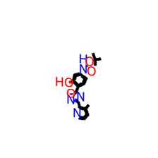 Cc1cccnc1-c1noc(-c2ccc(NC(=O)OC(C)(C)C)cc2O)n1